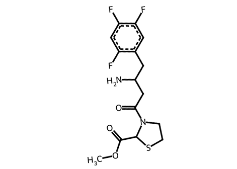 COC(=O)C1SCCN1C(=O)CC(N)Cc1cc(F)c(F)cc1F